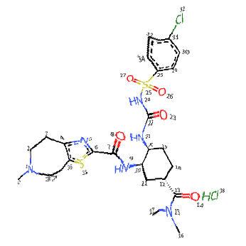 CN1CCc2nc(C(=O)N[C@@H]3C[C@@H](C(=O)N(C)C)CC[C@@H]3NC(=O)NS(=O)(=O)c3ccc(Cl)cc3)sc2C1.Cl